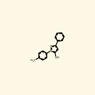 Cc1ccc(-n2nc(-c3ccccc3)cc2O)cc1